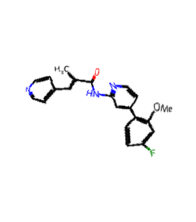 COc1cc(F)ccc1-c1ccnc(NC(=O)C(C)Cc2ccncc2)c1